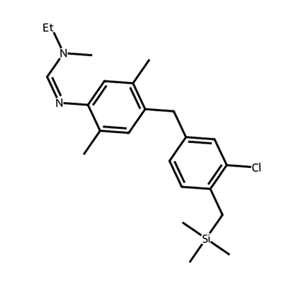 CCN(C)/C=N\c1cc(C)c(Cc2ccc(C[Si](C)(C)C)c(Cl)c2)cc1C